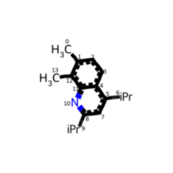 Cc1ccc2c(C(C)C)cc(C(C)C)nc2c1C